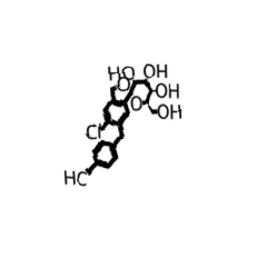 C#Cc1ccc(Cc2cc3c(cc2Cl)CO[C@]32O[C@H](CO)[C@@H](O)[C@H](O)[C@H]2O)cc1